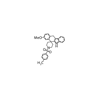 COc1ccc2c(c1)C1(CCN(S(=O)(=O)c3ccc(C)cc3)CC1)c1[nH]c3ccccc3c1C2